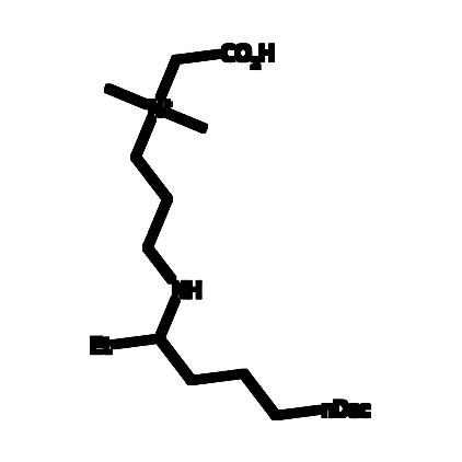 CCCCCCCCCCCCCC(CC)NCCC[N+](C)(C)CC(=O)O